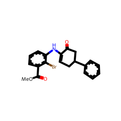 COC(=O)c1cccc(NC2=CCC(c3ccccc3)CC2=O)c1Br